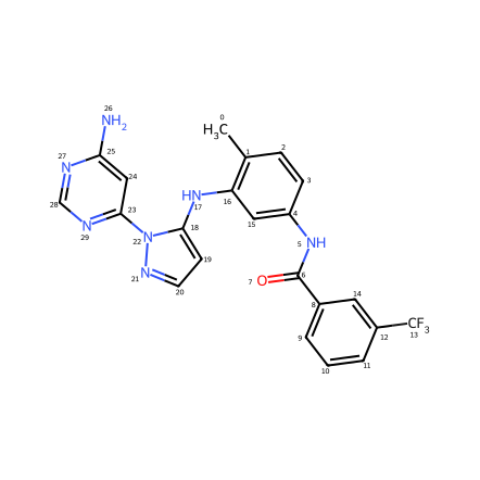 Cc1ccc(NC(=O)c2cccc(C(F)(F)F)c2)cc1Nc1ccnn1-c1cc(N)ncn1